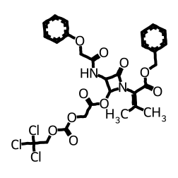 CC(C)=C(C(=O)OCc1ccccc1)N1C(=O)C(NC(=O)COc2ccccc2)C1OC(=O)COC(=O)OCC(Cl)(Cl)Cl